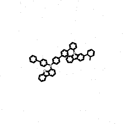 CC1C=CC=CC1c1ccc2c3ccccc3n(-c3ccccc3-c3ccc(-c4ccc(N(c5ccc(-c6ccccc6)cc5)c5cccc6c5oc5ccccc56)cc4)cc3)c2c1